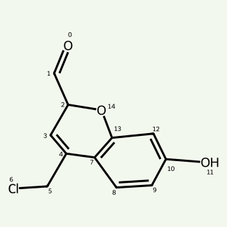 O=CC1C=C(CCl)c2ccc(O)cc2O1